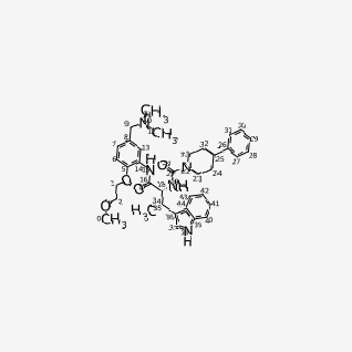 COCCOc1ccc(CN(C)C)cc1NC(=O)[C@H](NC(=O)N1CCC(c2ccccc2)CC1)[C@@H](C)c1c[nH]c2ccccc12